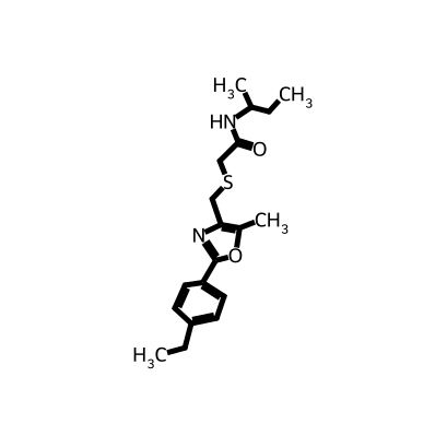 CCc1ccc(-c2nc(CSCC(=O)NC(C)CC)c(C)o2)cc1